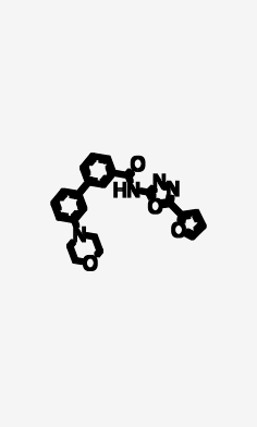 O=C(Nc1nnc(-c2ccco2)o1)c1cccc(-c2cccc(N3CCOCC3)c2)c1